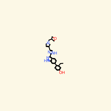 CCc1cc(O)ccc1-c1ccc2c(-c3nc(C4=CCN(CC5COC5)C4)c[nH]3)n[nH]c2c1